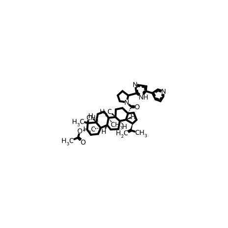 C=C(C)[C@@H]1CC[C@]2(C(=O)N3CCCC3c3ncc(-c4cccnc4)[nH]3)CC[C@]3(C)[C@H](CC[C@@H]4[C@@]5(C)CC[C@H](OC(C)=O)C(C)(C)[C@@H]5CC[C@]43C)[C@@H]12